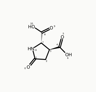 O=C1C[C@H](C(=O)O)[C@@H](C(=O)O)N1